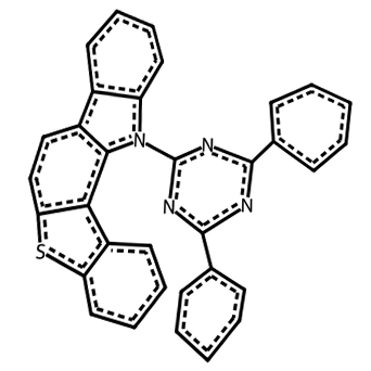 c1ccc(-c2nc(-c3ccccc3)nc(-n3c4ccccc4c4ccc5sc6ccccc6c5c43)n2)cc1